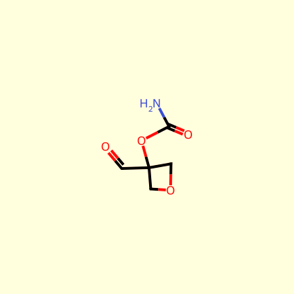 NC(=O)OC1(C=O)COC1